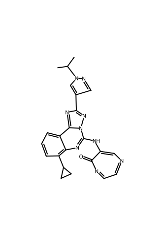 CC(C)n1cc(-c2nc3c4cccc(C5CC5)c4nc(Nc4cnccnc4=O)n3n2)cn1